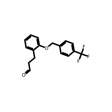 O=CCCc1ccccc1OCc1ccc(C(F)(F)F)cc1